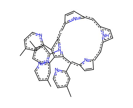 Cc1ccnc(-c2c(-c3cc(C)ccn3)c3c(-c4cc(C)ccn4)c4nc(cc5ccc(cc6nc(cc2n3-c2cc(C)ccn2)C=C6)[nH]5)C=C4)c1